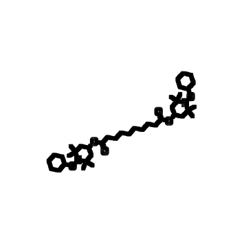 CC1(C)CC(OC(=O)CCCCCCCCC(=O)OC2CC(C)(C)N(OC3CCCCC3)C(C)(C)C2)CC(C)(C)N1OC1CCCCC1